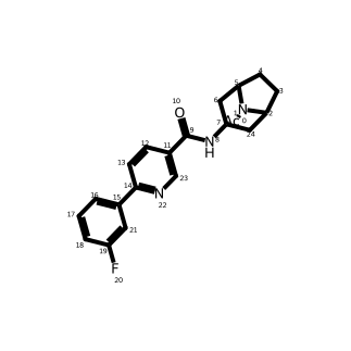 CC(=O)N1C2CCC1CC(NC(=O)c1ccc(-c3cccc(F)c3)nc1)C2